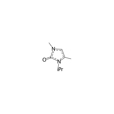 Cc1cn(C)c(=O)n1C(C)C